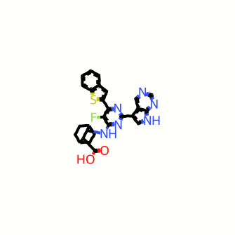 O=C(O)C1C2CCC(CC2)C1Nc1nc(-c2c[nH]c3ncncc23)nc(-c2cc3ccccc3s2)c1F